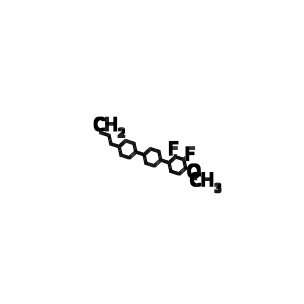 C=CCCC1CCC(C2CCC(C3CCC(OC)C(F)C3F)CC2)CC1